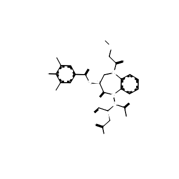 COCC(=O)N1C[C@H](NC(=O)c2cc(C)c(O)c(C)c2)C(=O)N(N(C(C)=O)[C@H](C=O)CC(=O)O)c2ccccc21